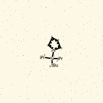 CC(C)[Si](C(C)C)(n1cccc1)C(C)(C)C